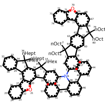 CCCCCCCCC1(CCCCCCCC)c2cc(N(c3ccc4c(c3)C(CCCCCC)(CCCCCC)c3c5c(c6c(oc7ccccc76)c3-4)-c3ccccc3C5(CCCCCCC)CCCCCCC)c3c(-c4ccccc4)cccc3-c3ccccc3)ccc2-c2cc3c(cc21)-c1c(ccc2oc4ccccc4c12)C3(CCCCCCCC)CCCCCCCC